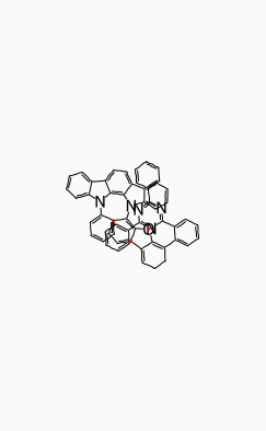 C1=c2c(oc3c(-n4c5ccccc5c5ccc6c7ccccc7n(-c7ccccc7)c6c54)cccc23)=C(c2ccccc2-c2nc(-c3ccccc3)nc(-c3ccccc3)n2)CC1